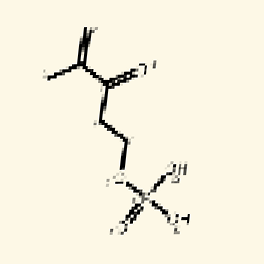 C=C(C)C(=O)CCOP(=O)(O)O